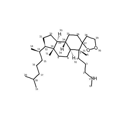 CNCCC[C@]1(C)[C@H]2CC[C@]3(C)[C@@H]([C@H](C)CCCC(C)C)CC[C@H]3[C@@H]2CCC12CCOO2